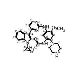 COc1cc(N2CCNCC2)c(NC(C)=O)cc1Nc1nccc(-c2cn(C3CC3)c3ccccc23)n1